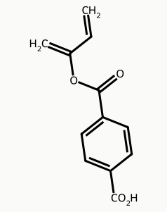 C=CC(=C)OC(=O)c1ccc(C(=O)O)cc1